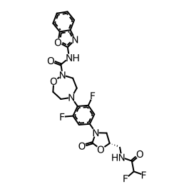 O=C(NC[C@H]1CN(c2cc(F)c(N3CCON(C(=O)Nc4nc5ccccc5o4)CC3)c(F)c2)C(=O)O1)C(F)F